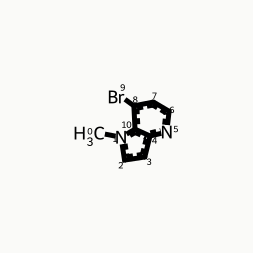 Cn1ccc2nccc(Br)c21